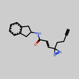 C#CCCC1(C=CC(=O)NC2Cc3ccccc3C2)N=N1